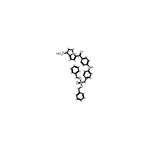 O=C(c1ccc(Nc2ccc(CP(=O)(OCc3ccccc3)OCc3ccccc3)cc2)cc1)c1ccc2n1CCC2C(=O)O